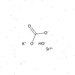 O=C([O-])[O-].[K+].[OH-].[Sr+2]